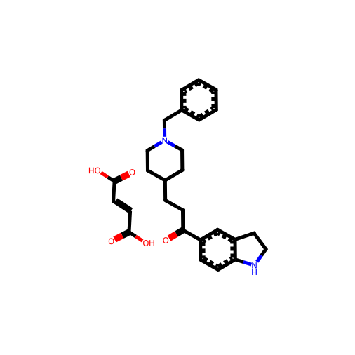 O=C(CCC1CCN(Cc2ccccc2)CC1)c1ccc2c(c1)CCN2.O=C(O)C=CC(=O)O